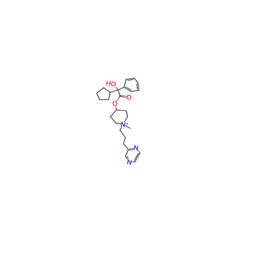 C[N+]1(CCCc2cnccn2)CCC(OC(=O)C(O)(c2ccccc2)C2CCCC2)CC1